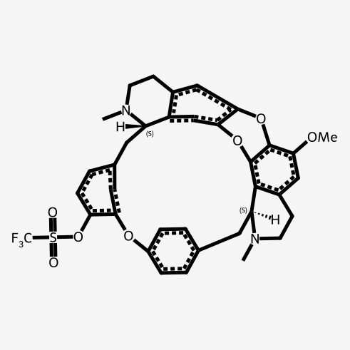 COc1cc2c3c4c1Oc1cc5c(cc1O4)[C@H](Cc1ccc(OS(=O)(=O)C(F)(F)F)c(c1)Oc1ccc(cc1)C[C@@H]3N(C)CC2)N(C)CC5